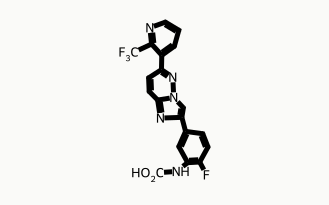 O=C(O)Nc1cc(-c2cn3nc(-c4cccnc4C(F)(F)F)ccc3n2)ccc1F